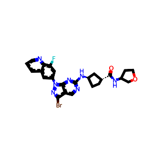 O=C(NC1CCOC1)[C@@H]1CC[C@@H](Nc2ncc3c(Br)nn(-c4cc(F)c5ncccc5c4)c3n2)C1